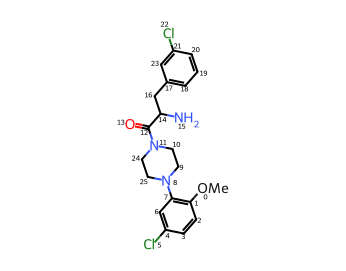 COc1ccc(Cl)cc1N1CCN(C(=O)C(N)Cc2cccc(Cl)c2)CC1